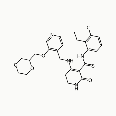 CCc1c(Cl)cccc1NC(=S)C1=C(NCc2ccncc2OCC2COCCO2)CCNC1=O